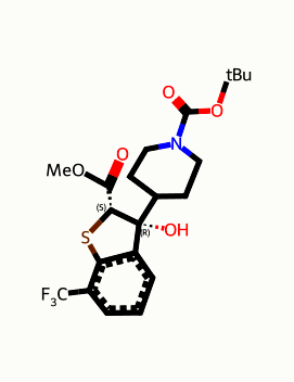 COC(=O)[C@H]1Sc2c(C(F)(F)F)cccc2[C@]1(O)C1CCN(C(=O)OC(C)(C)C)CC1